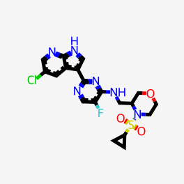 O=S(=O)(C1CC1)N1CCOCC1CNc1nc(-c2c[nH]c3ncc(Cl)cc23)ncc1F